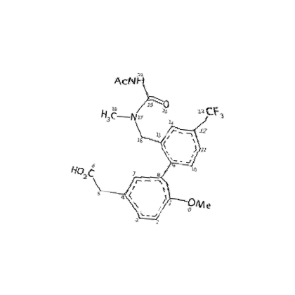 COc1ccc(CC(=O)O)cc1-c1ccc(C(F)(F)F)cc1CN(C)C(=O)NC(C)=O